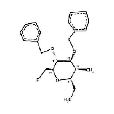 CC[C@H]1O[C@@H](CF)[C@H](OCc2ccccc2)[C@@H](OCc2ccccc2)[C@H]1C